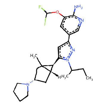 CCC(C)n1nc(-c2cnc(N)c(OC(F)F)c2)cc1[C@H]1[C@@H]2C[C@H](N3CCCC3)CC21C